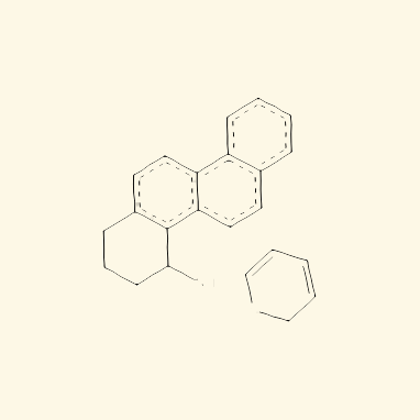 C1=CCSC=C1.NC1CCCc2ccc3c(ccc4ccccc43)c21